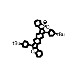 CC(C)(C)c1ccc(C2=c3cc4cc5c(cc4cc3C3=C2S(=O)(=O)c2ccccc23)=C(c2ccc(C(C)(C)C)cc2)c2oc3ccccc3c2-5)cc1